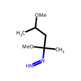 COC(C)CC(C)(N=N)OC